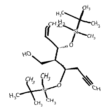 C#CC[C@@H](O[Si](C)(C)C(C)(C)C)[C@@H](CO)[C@H](C=C)O[Si](C)(C)C(C)(C)C